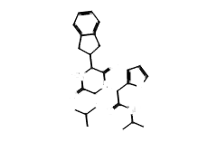 CC(C)C[C@@H]1C(=O)NC(C2Cc3ccccc3C2)C(=O)N1[C@@H](C(=O)NC(C)C)c1cccs1